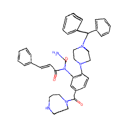 NC(=O)N(C(=O)/C=C/c1ccccc1)c1cc(C(=O)N2CCNCC2)ccc1N1CCN(C(c2ccccc2)c2ccccc2)CC1